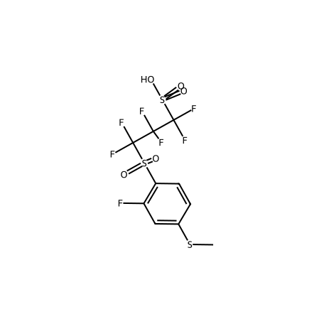 CSc1ccc(S(=O)(=O)C(F)(F)C(F)(F)C(F)(F)S(=O)(=O)O)c(F)c1